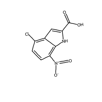 O=C(O)c1cc2c(Cl)ccc([N+](=O)[O-])c2[nH]1